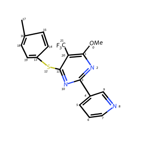 COc1nc(-c2cccnc2)nc(Sc2ccc(C)cc2)c1C(F)(F)F